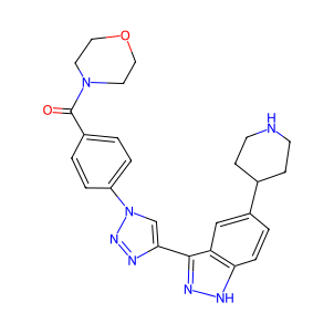 O=C(c1ccc(-n2cc(-c3n[nH]c4ccc(C5CCNCC5)cc34)nn2)cc1)N1CCOCC1